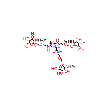 CCC(C(=O)NCCOCCOC1OC(CO)C(O)C(O)C1NC(C)=O)N(CC(=O)NCCOCCOC1OC(CO)C(O)C(O)C1NC(C)=O)CC(=O)NCCOCCOC1OC(CO)C(O)C(O)C1NC(C)=O